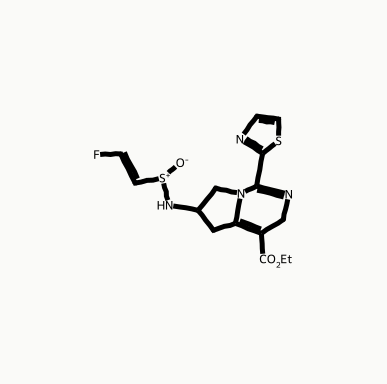 CCOC(=O)C1=C2CC(N[S+]([O-])/C=C/F)CN2C(c2nccs2)=NC1